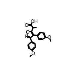 COc1ccc(-c2noc(C(C)C(=O)O)c2-c2ccc(OC)cc2)cc1